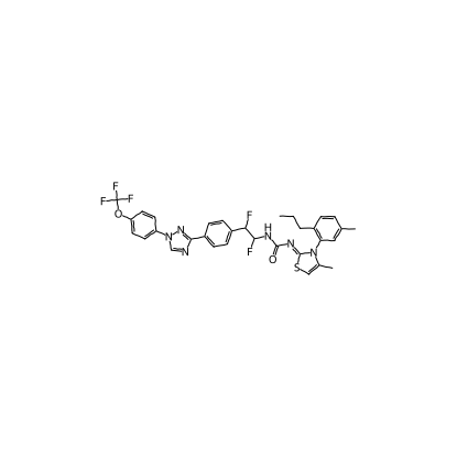 CCCc1ccc(C)cc1-n1c(C)cs/c1=N\C(=O)NC(F)C(F)c1ccc(-c2ncn(-c3ccc(OC(F)(F)F)cc3)n2)cc1